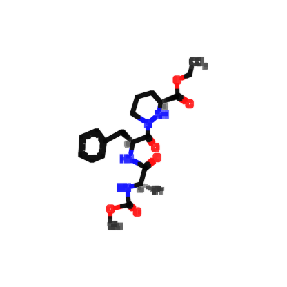 CC(C)[C@H](NC(=O)OC(C)(C)C)C(=O)N[C@@H](Cc1ccccc1)C(=O)N1CCC[C@@H](C(=O)OCC(Cl)(Cl)Cl)N1